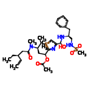 C=C[C@@H](CC)CC(=O)N(C)[C@H](CC(OC(C)=O)c1nc(C(O)N[C@H](CNS(C)(=O)=O)Cc2ccccc2)cs1)C(C)C